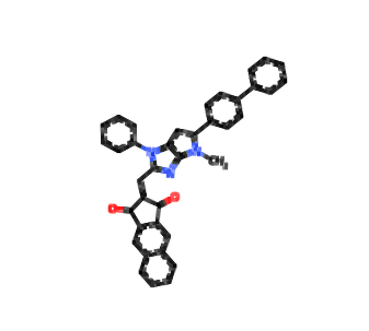 Cn1c(-c2ccc(-c3ccccc3)cc2)cc2c1nc(C=C1C(=O)c3cc4ccccc4cc3C1=O)n2-c1ccccc1